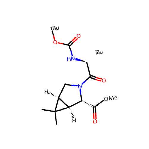 CC[C@H](C)[C@H](NC(=O)OC(C)(C)C)C(=O)N1C[C@H]2[C@@H]([C@H]1C(=O)OC)C2(C)C